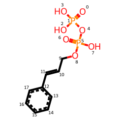 O=P(O)(O)OP(=O)(O)OC/C=C/c1ccccc1